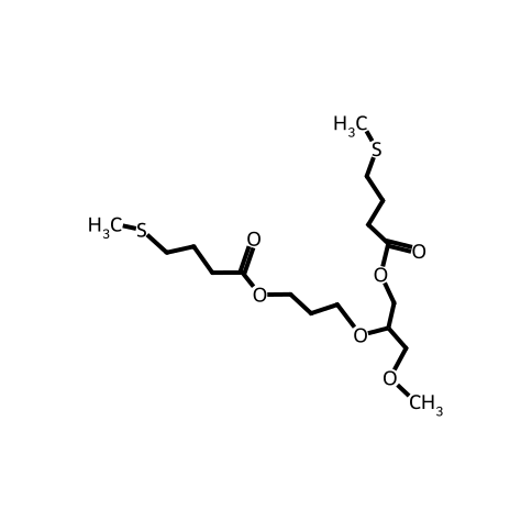 COCC(COC(=O)CCCSC)OCCCOC(=O)CCCSC